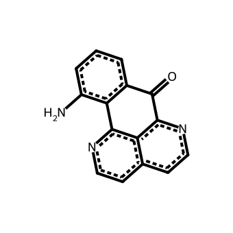 Nc1cccc2c1-c1nccc3ccnc(c13)C2=O